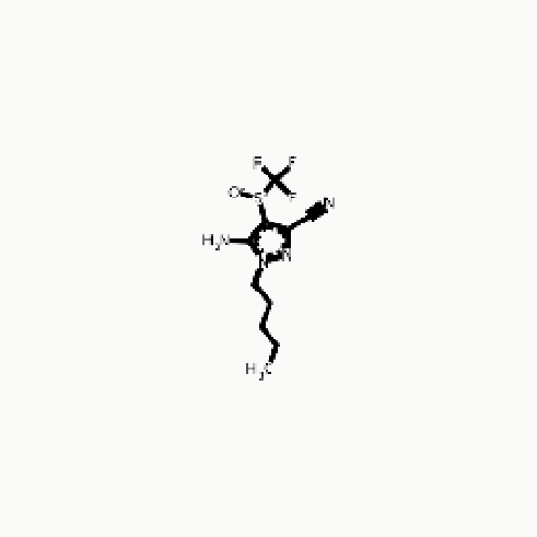 CCCCCn1nc(C#N)c([S+]([O-])C(F)(F)F)c1N